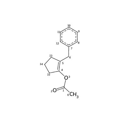 CC(=O)OC1=C(Cc2ccccc2)CCC1